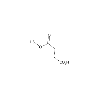 O=C(O)CCC(=O)OS